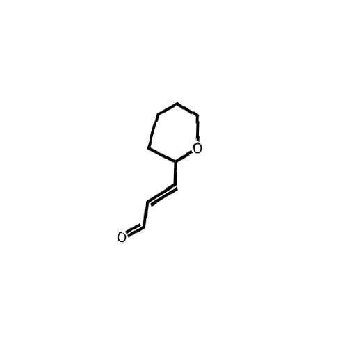 O=CC=CC1CCCCO1